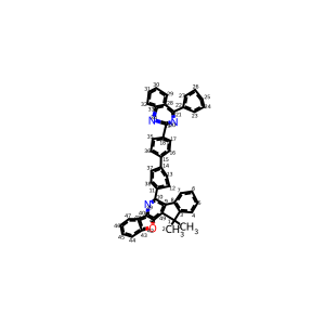 CC1(C)c2ccccc2-c2c(-c3ccc(-c4ccc(-c5nc(-c6ccccc6)c6ccccc6n5)cc4)cc3)nc3c(oc4ccccc43)c21